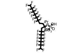 CC(C)N(C(C)(CCC(F)(F)C(F)(F)C(F)(F)C(F)(F)C(F)(F)C(F)F)CC(F)(F)C(F)(F)C(F)(F)C(F)(F)C(F)(F)C(F)F)P(=O)(O)O